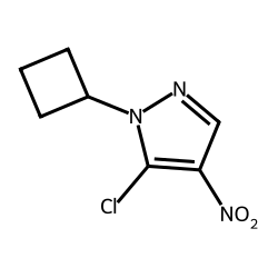 O=[N+]([O-])c1cnn(C2CCC2)c1Cl